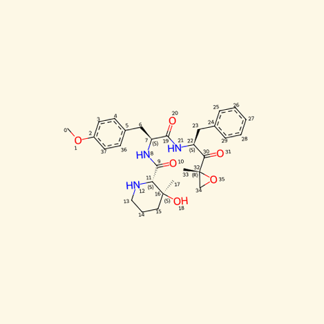 COc1ccc(C[C@H](NC(=O)[C@H]2NCCC[C@]2(C)O)C(=O)N[C@@H](Cc2ccccc2)C(=O)[C@@]2(C)CO2)cc1